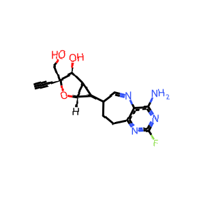 C#C[C@]1(CO)O[C@H]2C(C3C=Nc4c(N)nc(F)nc4CC3)C2[C@@H]1O